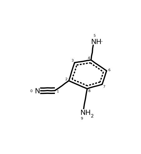 N#Cc1cc([NH])ccc1N